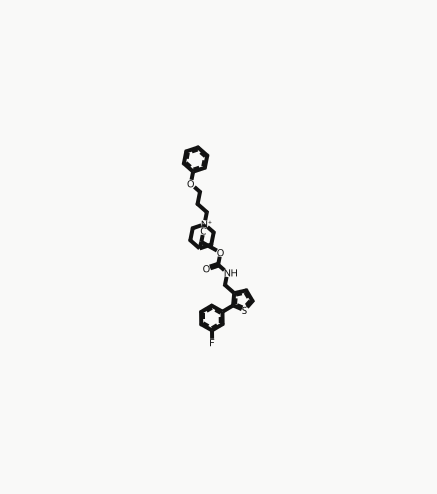 O=C(NCc1ccsc1-c1cccc(F)c1)OC1C[N+]2(CCCOc3ccccc3)CCC1CC2